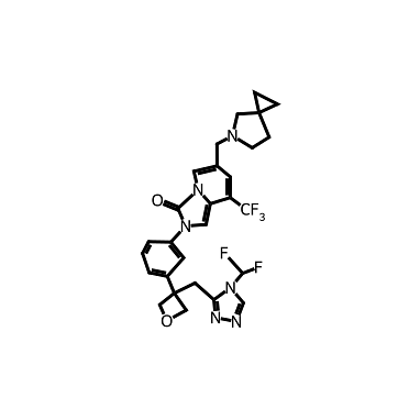 O=c1n(-c2cccc(C3(Cc4nncn4C(F)F)COC3)c2)cc2c(C(F)(F)F)cc(CN3CCC4(CC4)C3)cn12